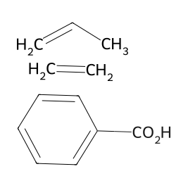 C=C.C=CC.O=C(O)c1ccccc1